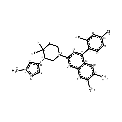 Cc1nc2nc(N3CCC(F)(F)[C@@H](c4cnn(C)c4)C3)nc(-c3ccc(Cl)cc3F)c2nc1C